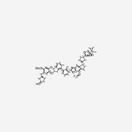 COc1nc(O[C@H]2CCc3c(-c4cccc(-c5nc6cc7c(c(OC(F)(F)F)c6o5)CC[C@H]7N5CC[C@@H](C(=O)NS(=O)(=O)C6(C)CC6)C5)c4C)cccc32)c(Cl)cc1CN1CC[C@@H](O)C1